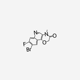 CN1C(=O)COc2c1cnc1cc(F)c(Br)cc21